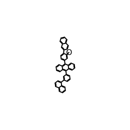 c1cc(-c2cccc3ccccc23)cc(-c2c3ccccc3c(-c3ccc4c(c3)oc3cc5ccccc5cc34)c3ccccc23)c1